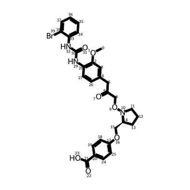 COc1cc(CC(=O)CON2CCC[C@H]2COc2ccc(C(=O)O)cc2)ccc1NC(=O)Nc1ccccc1Br